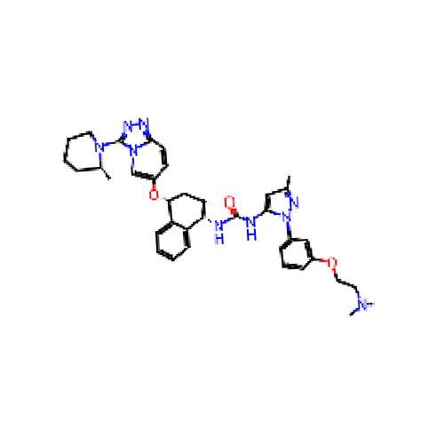 Cc1cc(NC(=O)N[C@H]2CC[C@@H](Oc3ccc4nnc(N5CCCC[C@@H]5C)n4c3)c3ccccc32)n(-c2cccc(OCCN(C)C)c2)n1